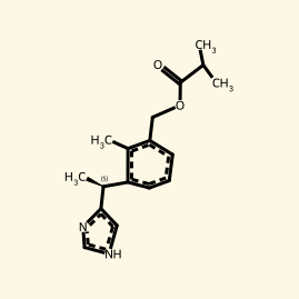 Cc1c(COC(=O)C(C)C)cccc1[C@H](C)c1c[nH]cn1